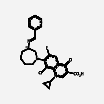 O=C(O)c1cn(C2CC2)c2c(Cl)c(N3CCCC[C@@H](N=Cc4ccccc4)C3)c(F)cc2c1=O